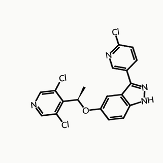 C[C@@H](Oc1ccc2[nH]nc(-c3ccc(Cl)nc3)c2c1)c1c(Cl)cncc1Cl